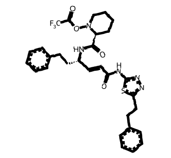 O=C(/C=C/[C@H](CCc1ccccc1)NC(=O)[C@@H]1CCCCN1OC(=O)C(F)(F)F)Nc1nnc(CCc2ccccc2)s1